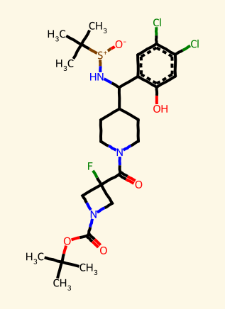 CC(C)(C)OC(=O)N1CC(F)(C(=O)N2CCC(C(N[S+]([O-])C(C)(C)C)c3cc(Cl)c(Cl)cc3O)CC2)C1